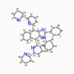 c1ccc(-c2nc3c(-c4cccc(-c5ccccn5)n4)c4ccccc4c(-c4cccc(-c5ccccn5)n4)c3n2-c2ccccc2)cc1